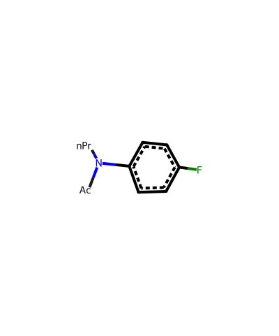 CCCN(C(C)=O)c1ccc(F)cc1